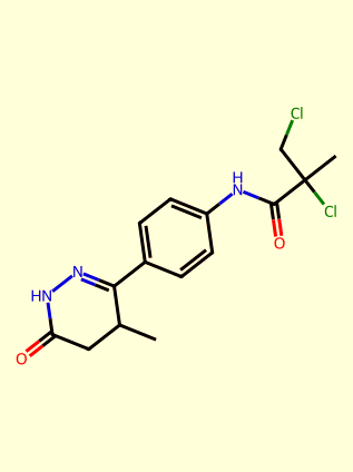 CC1CC(=O)NN=C1c1ccc(NC(=O)C(C)(Cl)CCl)cc1